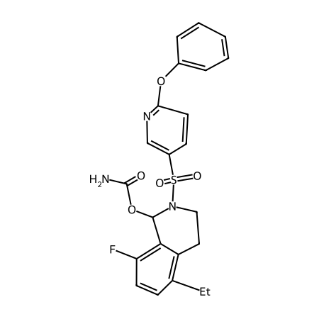 CCc1ccc(F)c2c1CCN(S(=O)(=O)c1ccc(Oc3ccccc3)nc1)C2OC(N)=O